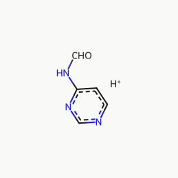 O=CNc1ccncn1.[H+]